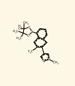 Cn1cc(-c2cc3cccc(B4OC(C)(C)C(C)(C)O4)c3cc2C(F)(F)F)cn1